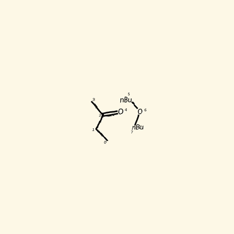 CCC(C)=O.CCCCOCCCC